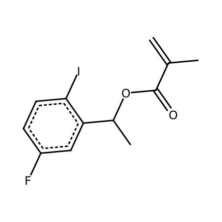 C=C(C)C(=O)OC(C)c1cc(F)ccc1I